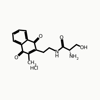 CC1=C(CCNC(=O)[C@@H](N)CO)C(=O)c2ccccc2C1=O.Cl